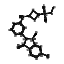 CCS(=O)(=O)N1CC(Nc2cncc(N3C(=O)c4ccc(Cl)cc4[C@@H]3C)c2)C1